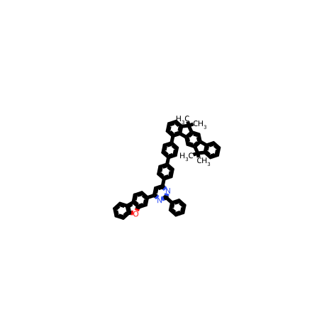 CC1(C)c2ccccc2-c2cc3c(cc21)-c1c(-c2ccc(-c4ccc(-c5cc(-c6ccc7c(c6)oc6ccccc67)nc(-c6ccccc6)n5)cc4)cc2)cccc1C3(C)C